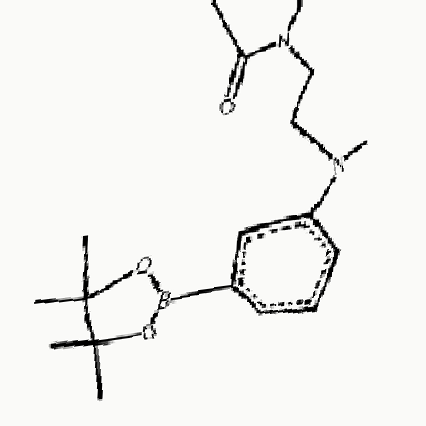 CC(=O)N(C)CCN(C)c1cccc(B2OC(C)(C)C(C)(C)O2)c1